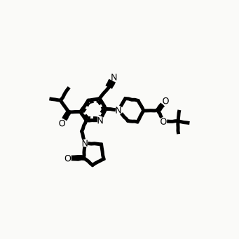 CC(C)C(=O)c1cc(C#N)c(N2CCC(C(=O)OC(C)(C)C)CC2)nc1CN1CCCC1=O